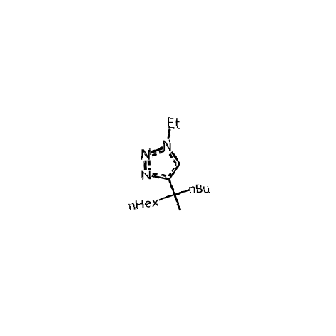 CCCCCCC(C)(CCCC)c1cn(CC)nn1